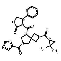 CC1(C)C[C@@H]1C(=O)N1CC2(CN(C(=O)c3cncs3)C[C@H]2C(=O)N2C(=O)OC[C@H]2c2ccccc2)C1